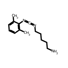 Cc1cccc(C)c1N=C=NCCCCCN